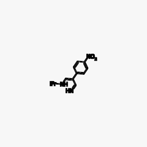 CC(C)N/C=C(\C=N)c1ccc([N+](=O)[O-])cc1